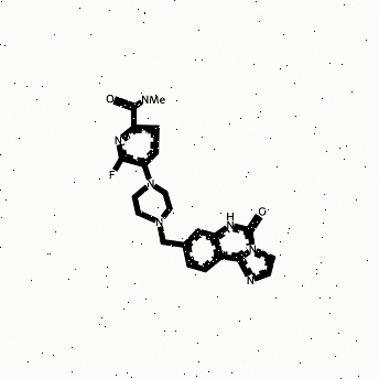 CNC(=O)c1ccc(N2CCN(Cc3ccc4c(c3)[nH]c(=O)n3ccnc43)CC2)c(F)n1